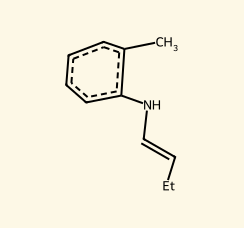 CC/C=C/Nc1ccccc1C